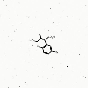 CC(CO)N(C(=O)O)c1cc(Br)ccc1F